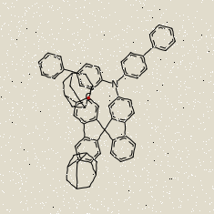 c1ccc(-c2ccc(N(c3ccc(-c4ccccc4)cc3)c3ccc4c(c3)C3(c5ccccc5-4)c4cc5c(cc4-c4cc6c(cc43)C3CC4CC(CC6C4)C3)C3CC4CC(C3)CC5C4)cc2)cc1